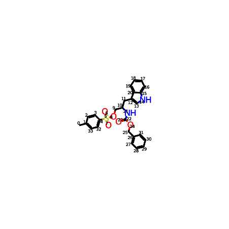 Cc1ccc(S(=O)(=O)OCC(Cc2c[nH]c3ccccc23)NC(=O)OCc2ccccc2)cc1